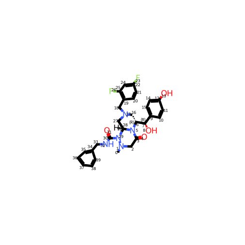 CN1CC(=O)N2[C@@H]([C@H](O)c3ccc(O)cc3)CN(Cc3ccc(F)cc3F)C[C@@H]2N1C(=O)NCc1ccccc1